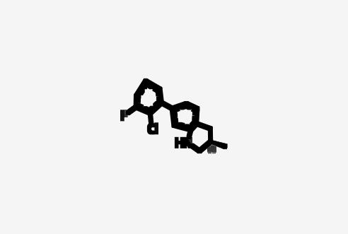 C[C@H]1CNc2cc(-c3cccc(F)c3Cl)ccc2C1